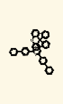 CC1(c2ccccc2C2(c3ccccc3)c3ccccc3Oc3ccccc32)C=C(c2ccc(-c3ccccc3)cc2)N=C(c2ccc(-c3ccccc3)cc2)N1